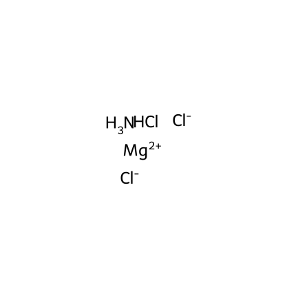 Cl.N.[Cl-].[Cl-].[Mg+2]